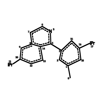 Cc1cc(-c2nccc3cc(C(C)C)ccc23)cc(C(C)C)c1